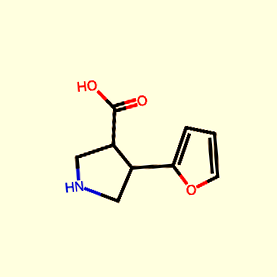 O=C(O)C1CNCC1c1ccco1